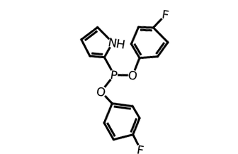 Fc1ccc(OP(Oc2ccc(F)cc2)c2ccc[nH]2)cc1